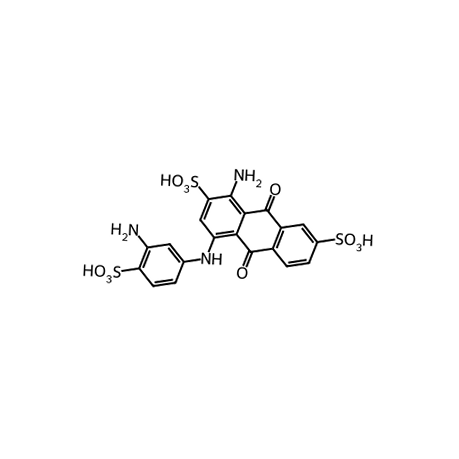 Nc1cc(Nc2cc(S(=O)(=O)O)c(N)c3c2C(=O)c2ccc(S(=O)(=O)O)cc2C3=O)ccc1S(=O)(=O)O